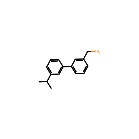 CC(C)c1cccc(-c2cccc(CP)c2)c1